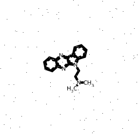 CN(C)CCn1c2ccccc2c2nc3ccccc3nc21